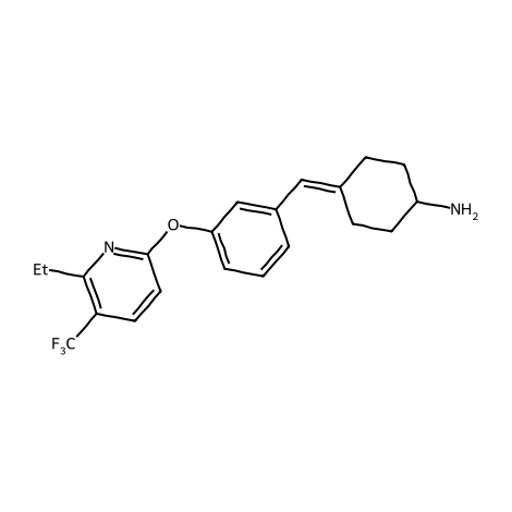 CCc1nc(Oc2cccc(C=C3CCC(N)CC3)c2)ccc1C(F)(F)F